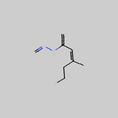 C=NNC(=C)/C=C(/C)CCC(C)C